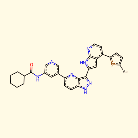 CC(=O)c1ccc(-c2ccnc3[nH]c(-c4n[nH]c5ccc(-c6cncc(NC(=O)C7CCCCC7)c6)nc45)cc23)s1